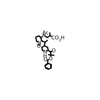 CC(=O)N(CC(C)C(=O)O)[C@@H]1CCC[N+](=O)C1C(C)C1CCNC(C(=O)C(C)(C)OC(=O)c2ccccc2)C1